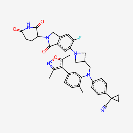 Cc1ccc(-c2c(C)noc2C)cc1N(CC1CN(c2cc3c(cc2F)CN(C2CCC(=O)NC2=O)C3=O)C1)c1ccc(C2(C#N)CC2)cc1